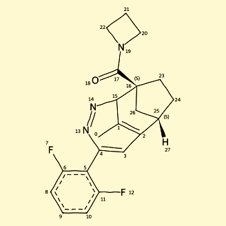 CC1=C2C=C(c3c(F)cccc3F)N=NC1[C@]1(C(=O)N3CCC3)CC[C@H]2C1